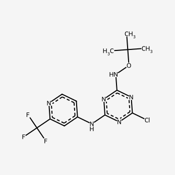 CC(C)(C)ONc1nc(Cl)nc(Nc2ccnc(C(F)(F)F)c2)n1